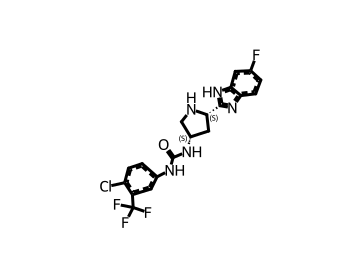 O=C(Nc1ccc(Cl)c(C(F)(F)F)c1)N[C@@H]1CN[C@H](c2nc3ccc(F)cc3[nH]2)C1